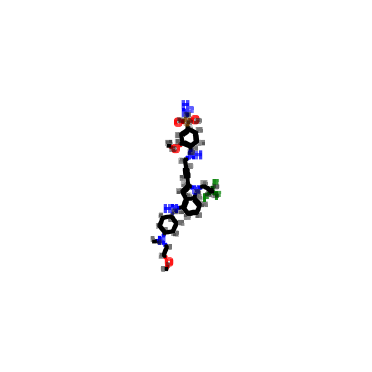 COCCN(C)[C@H]1CC[C@H](Nc2cccc3c2cc(C#CCNc2ccc(S(N)(=O)=O)cc2OC)n3CC(F)(F)F)CC1